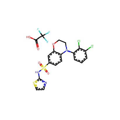 O=C(O)C(F)(F)F.O=S(=O)(Nc1nccs1)c1ccc2c(c1)OCCN2c1cccc(Cl)c1Cl